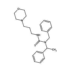 CC(c1ccccc1)N(Cc1ccccc1)C(=S)NCCCN1CCOCC1